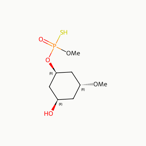 CO[C@@H]1C[C@@H](O)C[C@@H](OP(=O)(S)OC)C1